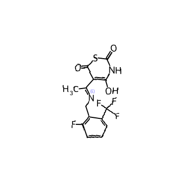 C/C(=N\Cc1c(F)cccc1C(F)(F)F)c1c(O)[nH]c(=O)sc1=O